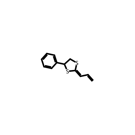 C=C/C=C1\SCC(c2ccccc2)S1